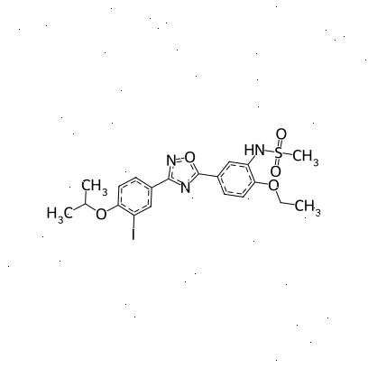 CCOc1ccc(-c2nc(-c3ccc(OC(C)C)c(I)c3)no2)cc1NS(C)(=O)=O